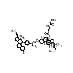 CC#C[C@@]1(O)CCC2C3CCC4=CC(=O)CCC4=C3[C@H](c3ccc(N(C)CCO[C@H]4CC[C@@]5(C)[C@@H](C4)C[C@@H](OC(=O)OCCNC(=O)OC(C)(C)C)[C@@H]4[C@@H]5C[C@H](O)[C@]5(C)[C@@H]([C@H](C)CCC(=O)O)CC[C@@H]45)cc3)C[C@@]21C